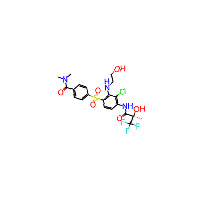 CN(C)C(=O)c1ccc(S(=O)(=O)c2ccc(NC(=O)[C@@](C)(O)C(F)(F)F)c(Cl)c2NCCO)cc1